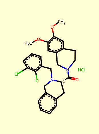 COc1cc2c(cc1OC)CN(C(=O)[C@@H]1Cc3ccccc3CN1Cc1cccc(Cl)c1Cl)CC2.Cl